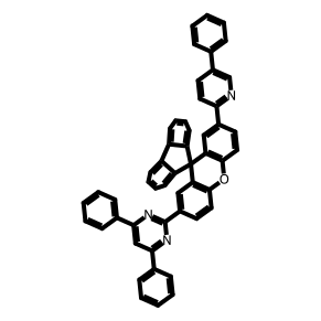 c1ccc(-c2ccc(-c3ccc4c(c3)C3(c5cc(-c6nc(-c7ccccc7)cc(-c7ccccc7)n6)ccc5O4)c4ccccc4-c4ccccc43)nc2)cc1